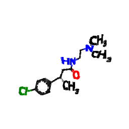 C[C@@H](CC(=O)NCCN(C)C)c1ccc(Cl)cc1